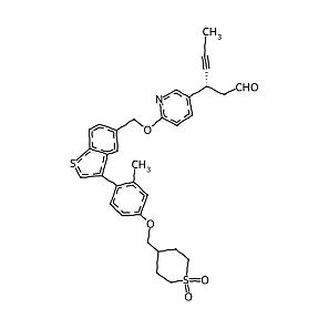 CC#C[C@H](CC=O)c1ccc(OCc2ccc3scc(-c4ccc(OCC5CCS(=O)(=O)CC5)cc4C)c3c2)nc1